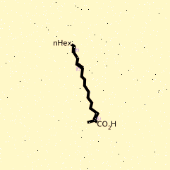 CCCCCC/C=C/C/C=C/CCCCCCC/C=C(\C)C(=O)O